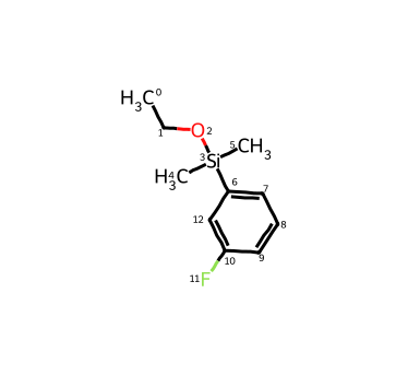 CCO[Si](C)(C)c1cccc(F)c1